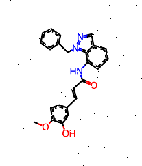 COc1ccc(/C=C/C(=O)Nc2cccc3cnn(Cc4ccccc4)c23)cc1O